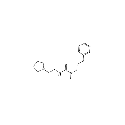 CN(CCOc1ccccc1)C(=S)NCCN1CCCC1